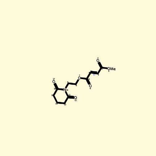 COC(=O)/C=C/C(=O)OCCN1C(=O)CCCC1=O